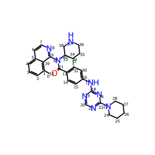 Cc1cccc2ccnc(N(C(=O)c3ccc(Nc4ncnc(N5CCCCC5)n4)cc3F)[C@@H]3CCCNC3)c12